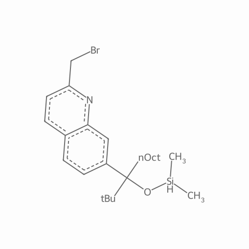 CCCCCCCCC(O[SiH](C)C)(c1ccc2ccc(CBr)nc2c1)C(C)(C)C